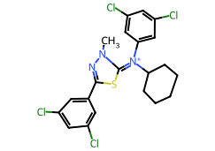 Cn1nc(-c2cc(Cl)cc(Cl)c2)sc1=[N+](c1cc(Cl)cc(Cl)c1)C1CCCCC1